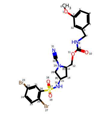 COc1cccc(CNC(=O)OC[C@H]2C[C@@H](NS(=O)(=O)c3cc(Br)ccc3Br)CN2C#N)c1